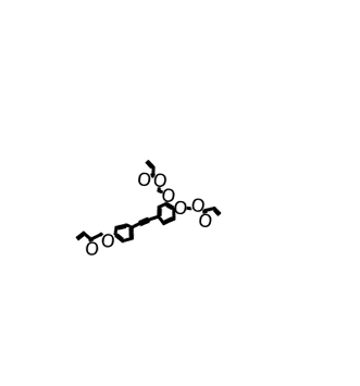 C=CC(=O)COc1ccc(C#Cc2ccc(OCOC(=O)C=C)c(OCOC(=O)C=C)c2)cc1